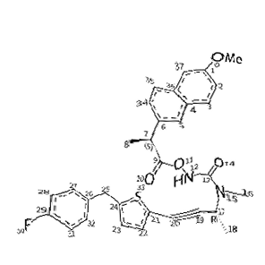 COc1ccc2cc([C@H](C)C(=O)ONC(=O)N(C)[C@H](C)C#Cc3ccc(Cc4ccc(F)cc4)s3)ccc2c1